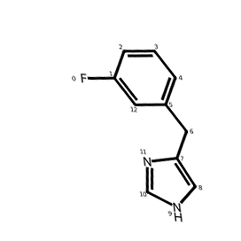 Fc1cccc(Cc2c[nH]cn2)c1